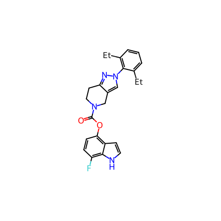 CCc1cccc(CC)c1-n1cc2c(n1)CCN(C(=O)Oc1ccc(F)c3[nH]ccc13)C2